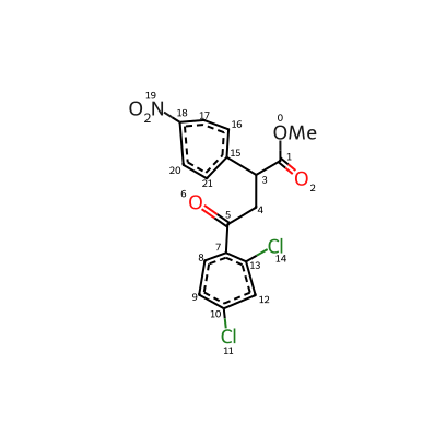 COC(=O)C(CC(=O)c1ccc(Cl)cc1Cl)c1ccc([N+](=O)[O-])cc1